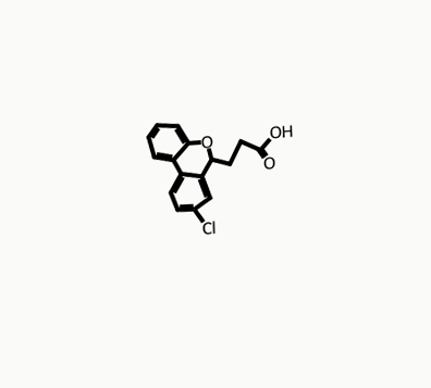 O=C(O)CCC1Oc2ccccc2-c2ccc(Cl)cc21